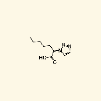 CCCCCC(C(=O)O)n1ccnn1